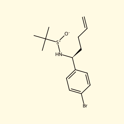 C=CCC[C@H](N[S+]([O-])C(C)(C)C)c1ccc(Br)cc1